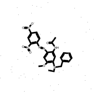 CCN(Cc1ccccc1)c1cc(NC(C)=O)c(N=Nc2ccc([N+](=O)[O-])cc2[N+](=O)[O-])cc1OC